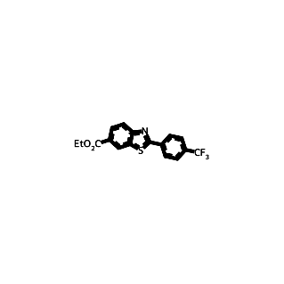 CCOC(=O)c1ccc2nc(-c3ccc(C(F)(F)F)cc3)sc2c1